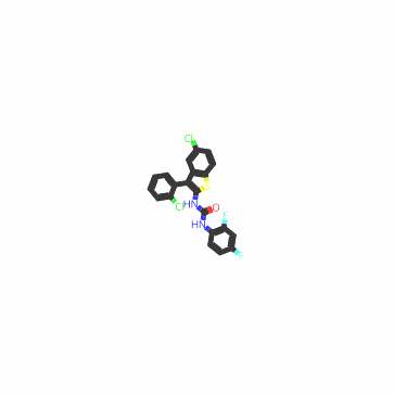 O=C(Nc1ccc(F)cc1F)Nc1sc2ccc(Cl)cc2c1-c1ccccc1Cl